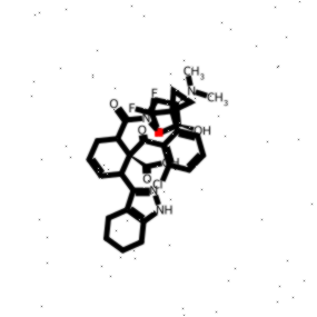 CN(C)[C@H]1CN(C(=O)C2CC=CC(c3n[nH]c4c3CCCC4)[C@@]2(C(=O)O)C(=O)c2c(Cl)cccc2C2(C(F)(F)F)CC2)C[C@@H]1O